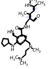 CN/C(C)=C\C(C)=C(/C=O)CNC(=O)c1cc(CN(C)CCN(C)C)cc(NC2CCCC2)c1C=N